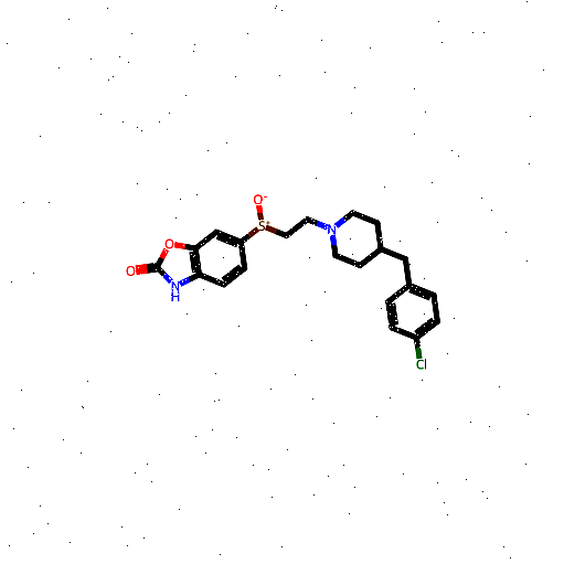 O=c1[nH]c2ccc([S+]([O-])CCN3CCC(Cc4ccc(Cl)cc4)CC3)cc2o1